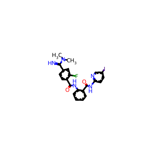 CN(C)C(=N)c1ccc(C(=O)Nc2ccccc2C(=O)Nc2ccc(I)cn2)c(F)c1